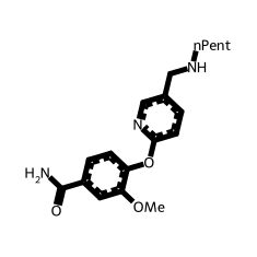 CCCCCNCc1ccc(Oc2ccc(C(N)=O)cc2OC)nc1